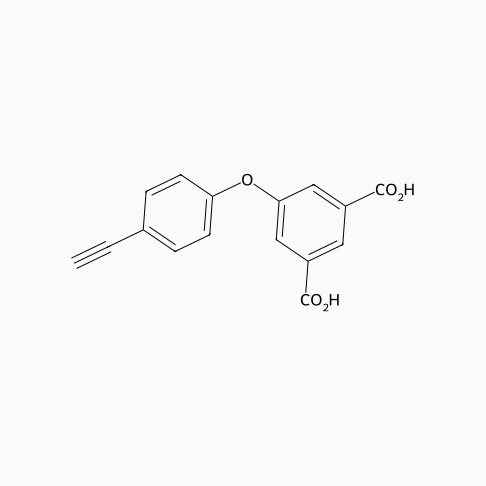 C#Cc1ccc(Oc2cc(C(=O)O)cc(C(=O)O)c2)cc1